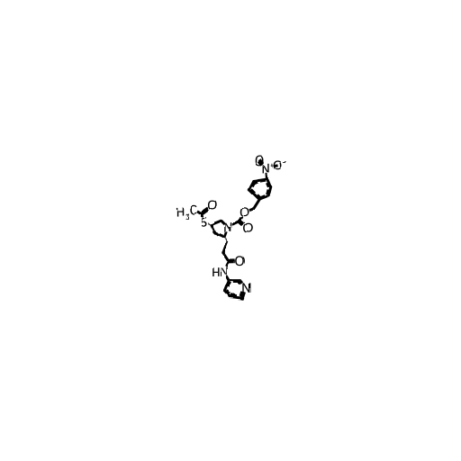 CC(=O)S[C@H]1C[C@@H](CCC(=O)Nc2cccnc2)N(C(=O)OCc2ccc([N+](=O)[O-])cc2)C1